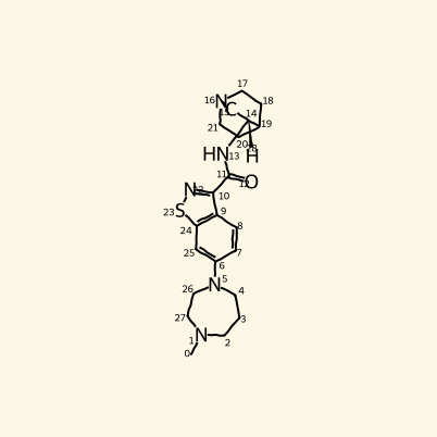 CN1CCCN(c2ccc3c(C(=O)N[C@@H]4CN5CCC4CC5)nsc3c2)CC1